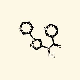 CN(C(=O)c1cccnc1)c1cnn(-c2cccnc2)c1